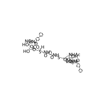 CC(=O)N[C@H]1[C@H]([C@H](O)[C@H](O)CNC(=O)c2ccc(-c3ccccc3)cc2)O[C@@](OCCCSCCNC(=O)c2cccc(C(=O)NCCSCCCO[C@]3(C(=O)O)CC(O)C[C@H]([C@H](O)[C@@H](CNC(=O)c4ccc(-c5ccccc5)cc4)N=O)O3)c2)(C(=O)O)C[C@@H]1C